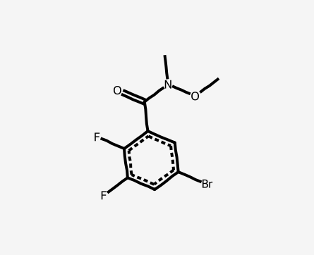 CON(C)C(=O)c1cc(Br)cc(F)c1F